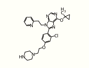 CC1(Oc2ncnc3c2nc(-c2ccc(OCCN4CCNCC4)cc2Cl)n3CCc2ccccn2)CC1